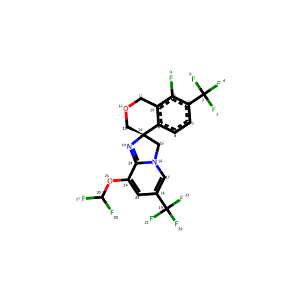 Fc1c(C(F)(F)F)ccc2c1COC[C@]21CN2C=C(C(F)(F)F)C=C(OC(F)F)C2=N1